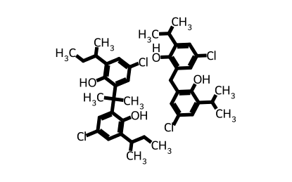 CC(C)c1cc(Cl)cc(Cc2cc(Cl)cc(C(C)C)c2O)c1O.CCC(C)c1cc(Cl)cc(C(C)(C)c2cc(Cl)cc(C(C)CC)c2O)c1O